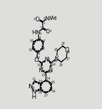 CNC(=O)C(=O)Nc1ccc(Oc2nc(-c3cccc4[nH]ncc34)nc(N3CCOCC3)n2)cc1